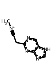 C[N+]#CCc1ncc2[nH]cnc2n1